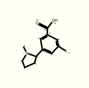 CN1CCCC1c1cc(F)cc(C(=O)O)c1